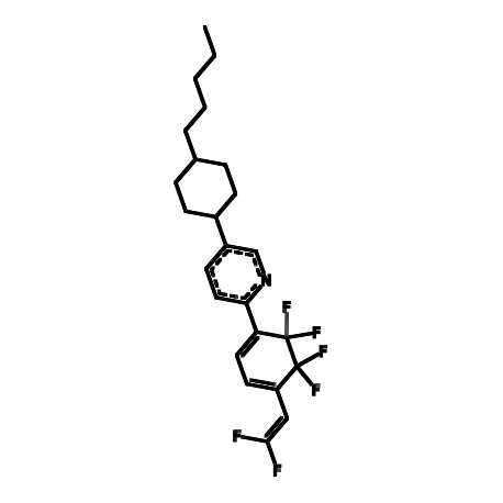 CCCCCC1CCC(c2ccc(C3=CC=C(C=C(F)F)C(F)(F)C3(F)F)nc2)CC1